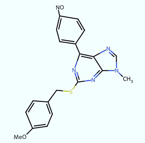 COc1ccc(CSc2nc(-c3ccc(N=O)cc3)c3ncn(C)c3n2)cc1